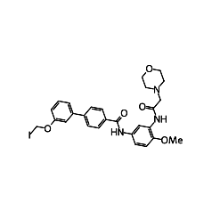 COc1ccc(NC(=O)c2ccc(-c3cccc(OCI)c3)cc2)cc1NC(=O)CN1CCOCC1